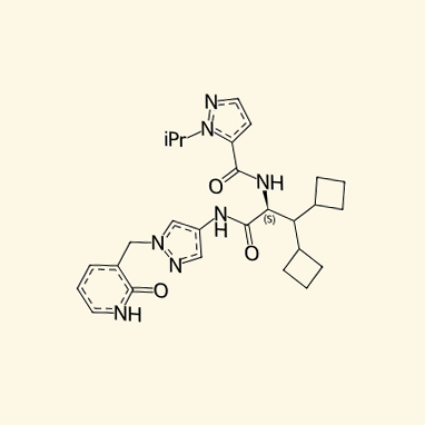 CC(C)n1nccc1C(=O)N[C@H](C(=O)Nc1cnn(Cc2ccc[nH]c2=O)c1)C(C1CCC1)C1CCC1